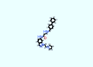 O=C(CCNCc1ccc(-c2ccccc2)cc1)Nc1ccc2cnn(CCN3CCCC3)c2c1